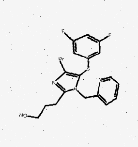 CC(C)c1nc(CCCO)n(Cc2ccccn2)c1Sc1cc(F)cc(F)c1